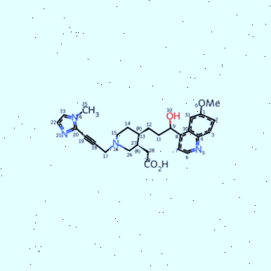 COc1ccc2nccc(C(O)CC[C@@H]3CCN(CC#Cc4nccn4C)C[C@@H]3CC(=O)O)c2c1